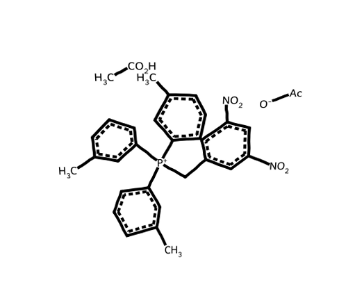 CC(=O)O.CC(=O)[O-].Cc1cccc([P+](Cc2cc([N+](=O)[O-])cc([N+](=O)[O-])c2)(c2cccc(C)c2)c2cccc(C)c2)c1